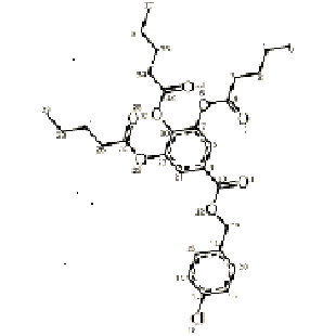 CCCCC(=O)Oc1cc(C(=O)OCc2ccc(Cl)cc2)cc(OC(=O)CCCC)c1OC(=O)CCCC